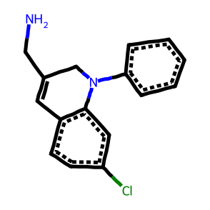 NCC1=Cc2ccc(Cl)cc2N(c2ccccc2)C1